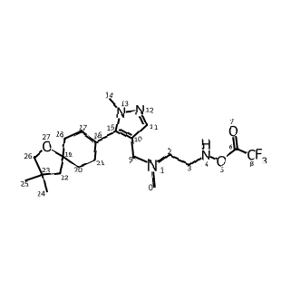 CN(CCNOC(=O)C(F)(F)F)Cc1cnn(C)c1C1CCC2(CC1)CC(C)(C)CO2